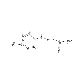 COC(=O)CCSc1ccc(C(C)C)nc1